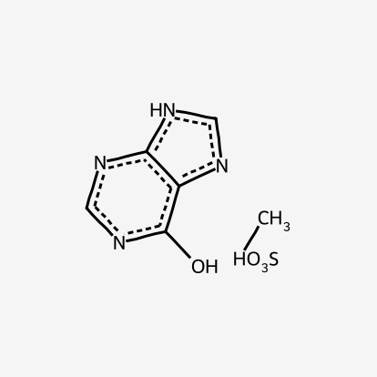 CS(=O)(=O)O.Oc1ncnc2[nH]cnc12